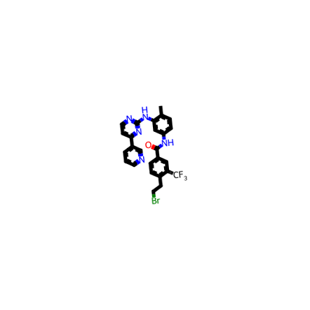 Cc1ccc(NC(=O)c2ccc(CCBr)c(C(F)(F)F)c2)cc1Nc1nccc(-c2cccnc2)n1